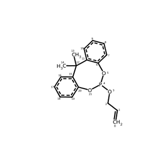 C=CCOP1Oc2ccccc2C(C)(C)c2ccccc2O1